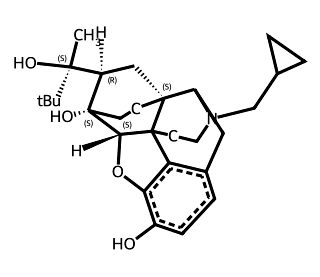 CC(C)(C)[C@@](C)(O)[C@H]1C[C@@]23CC[C@@]1(O)[C@H]1Oc4c(O)ccc5c4C12CCN(CC1CC1)C3C5